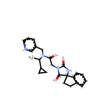 CC(C1CC1)N(Cc1cccnc1)C(=O)CN1C(=O)NC2(CCc3ccccc32)C1=O